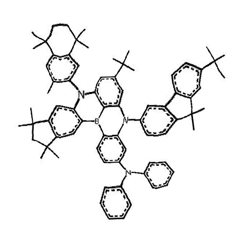 Cc1cc2c(cc1N1c3cc4c(cc3B3c5ccc(N(c6ccccc6)c6ccccc6)cc5N(c5ccc6c(c5)-c5ccc(C(C)(C)C)cc5C6(C)C)c5cc(C(C)(C)C)cc1c53)C(C)(C)CC4(C)C)C(C)(C)CCC2(C)C